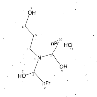 CCCC(O)N(CCCO)C(O)CCC.Cl